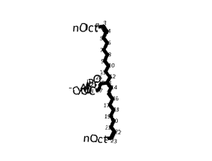 CC(C)[O-].CCCCCCCC/C=C\CCCCCCCCC(CCCCCCCC/C=C\CCCCCCCC)C(=O)CC(=O)[O-].[Al+2]